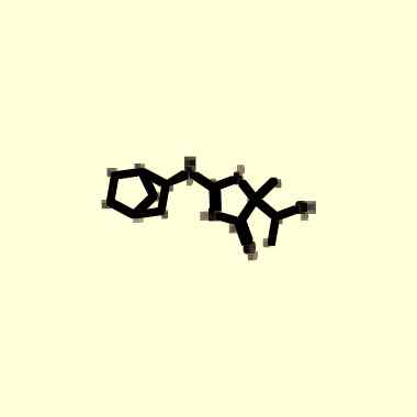 CC(O)C1(C)SC(N[C@H]2CC3CCC2C3)=NC1=O